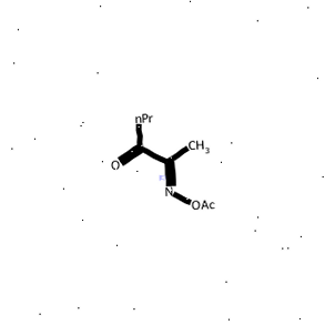 CCCC(=O)/C(C)=N/OC(C)=O